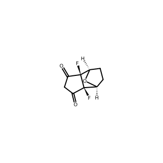 O=C1CC(=O)[C@]2(F)[C@H]3CC[C@H](O3)[C@]12F